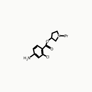 CC(C)N1CCC(OC(=O)c2ccc(N)cc2Cl)C1